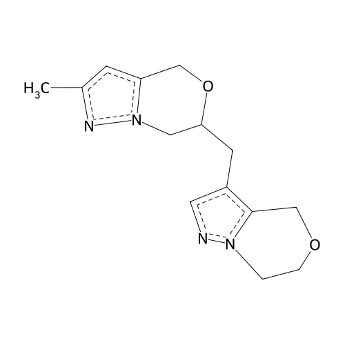 Cc1cc2n(n1)CC(Cc1cnn3c1COCC3)OC2